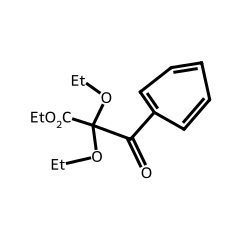 CCOC(=O)C(OCC)(OCC)C(=O)c1ccccc1